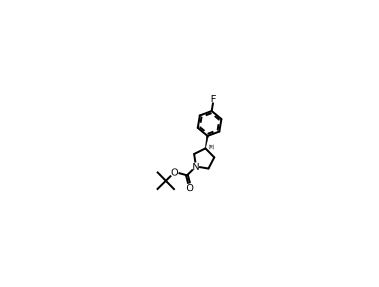 CC(C)(C)OC(=O)N1CC[C@H](c2ccc(F)cc2)C1